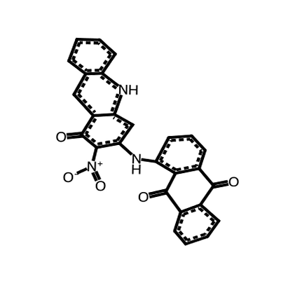 O=C1c2ccccc2C(=O)c2c(Nc3cc4[nH]c5ccccc5cc-4c(=O)c3[N+](=O)[O-])cccc21